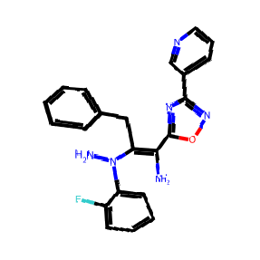 N/C(=C(/Cc1ccccc1)N(N)c1ccccc1F)c1nc(-c2cccnc2)no1